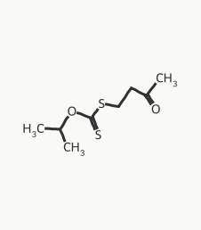 CC(=O)CCSC(=S)OC(C)C